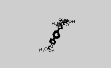 C[C@@H](O)COc1ccc(-c2ccc(C3=NO[C@@H](CC(C)(C(=O)NO)S(C)(=O)=O)C3)cc2)cc1